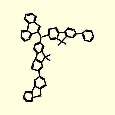 CC1(C)c2cc(-c3ccccc3)ccc2-c2ccc(N(c3ccc4c(c3)C(C)(C)c3cc(-c5ccc6sc7ccccc7c6c5)ccc3-4)c3cc4ccccc4c4ccccc34)cc21